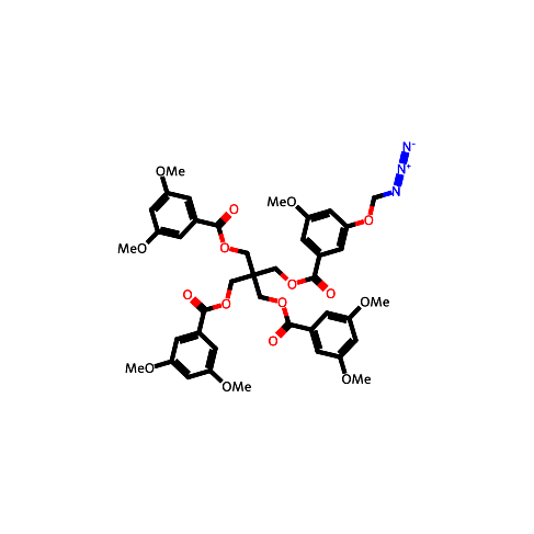 COc1cc(OC)cc(C(=O)OCC(COC(=O)c2cc(OC)cc(OC)c2)(COC(=O)c2cc(OC)cc(OC)c2)COC(=O)c2cc(OC)cc(OCN=[N+]=[N-])c2)c1